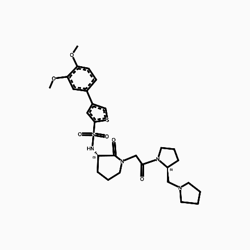 COc1ccc(-c2csc(S(=O)(=O)N[C@H]3CCCN(CC(=O)N4CCC[C@H]4CN4CCCC4)C3=O)c2)cc1OC